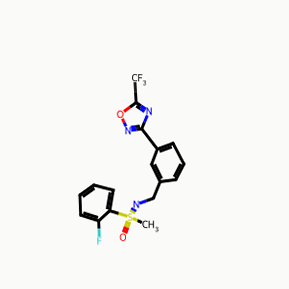 CS(=O)(=NCc1cccc(-c2noc(C(F)(F)F)n2)c1)c1ccccc1F